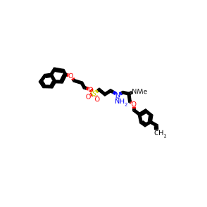 C=Cc1ccc(COCC(CN(N)CCCS(=O)(=O)OCCCOc2ccc3ccccc3c2)NC)cc1